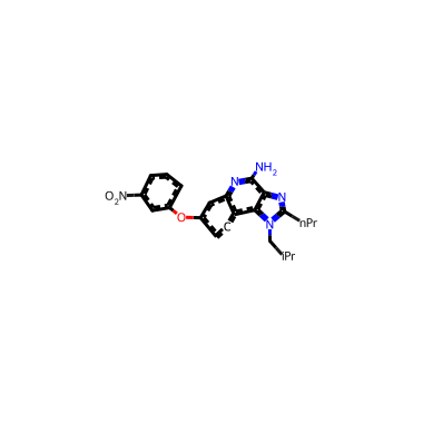 CCCc1nc2c(N)nc3cc(Oc4cccc([N+](=O)[O-])c4)ccc3c2n1CC(C)C